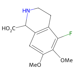 COc1cc2c(c(F)c1OC)CCNC2C(=O)O